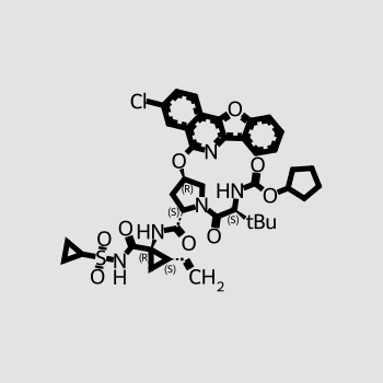 C=C[C@@H]1C[C@]1(NC(=O)[C@@H]1C[C@@H](Oc2nc3c4ccccc4oc3c3ccc(Cl)cc23)CN1C(=O)[C@@H](NC(=O)OC1CCCC1)C(C)(C)C)C(=O)NS(=O)(=O)C1CC1